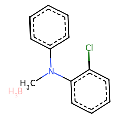 B.CN(c1ccccc1)c1ccccc1Cl